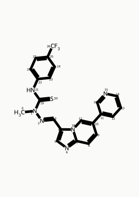 CN(/N=C/c1cnc2ccc(-c3cccnc3)cn12)C(=S)Nc1ccc(C(F)(F)F)cc1